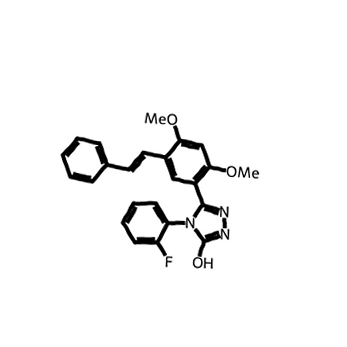 COc1cc(OC)c(-c2nnc(O)n2-c2ccccc2F)cc1/C=C/c1ccccc1